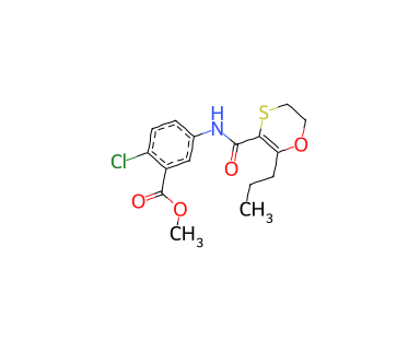 CCCC1=C(C(=O)Nc2ccc(Cl)c(C(=O)OC)c2)SCCO1